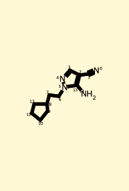 N#Cc1cnn(CCC2CCCC2)c1N